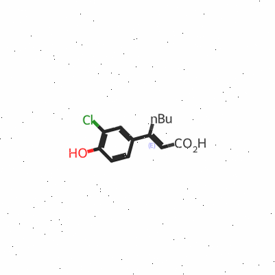 CCCC/C(=C\C(=O)O)c1ccc(O)c(Cl)c1